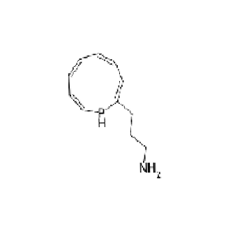 NCCCc1ccccccc[pH]1